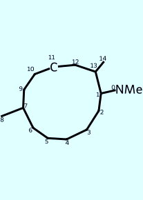 CNC1CCCCCC(C)CCCCC1C